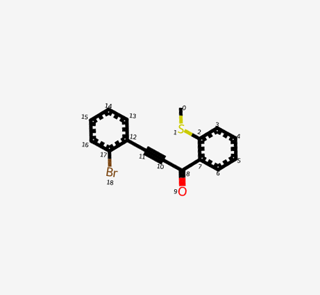 CSc1ccccc1C(=O)C#Cc1ccccc1Br